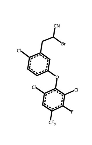 N#CC(Br)Cc1cc(Oc2c(Cl)cc(C(F)(F)F)c(F)c2Cl)ccc1Cl